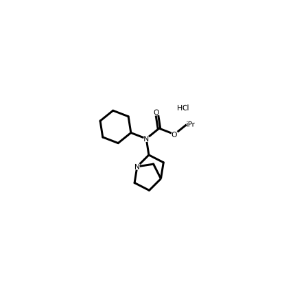 CC(C)OC(=O)N(C1CCCCC1)C1CC2CCN1C2.Cl